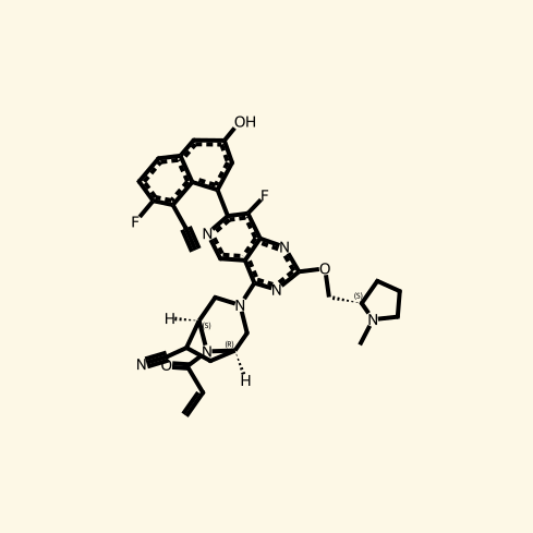 C#Cc1c(F)ccc2cc(O)cc(-c3ncc4c(N5C[C@H]6CC(C#N)[C@@H](C5)N6C(=O)C=C)nc(OC[C@@H]5CCCN5C)nc4c3F)c12